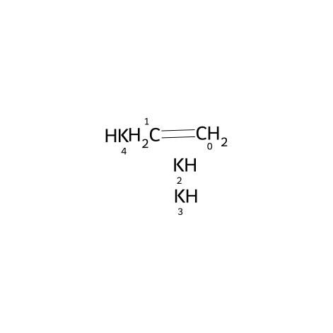 C=C.[KH].[KH].[KH]